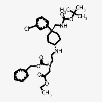 CCOC(=O)CN(CCN[C@H]1CC[C@@](CNC(=O)OC(C)(C)C)(c2cccc(Cl)c2)CC1)C(=O)OCc1ccccc1